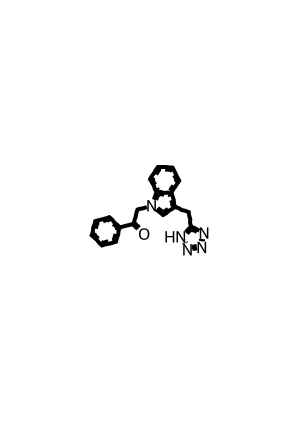 O=C(Cn1cc(Cc2nnn[nH]2)c2ccccc21)c1ccccc1